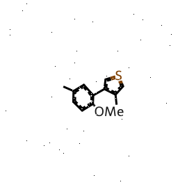 COc1ccc(C)cc1-c1cscc1C